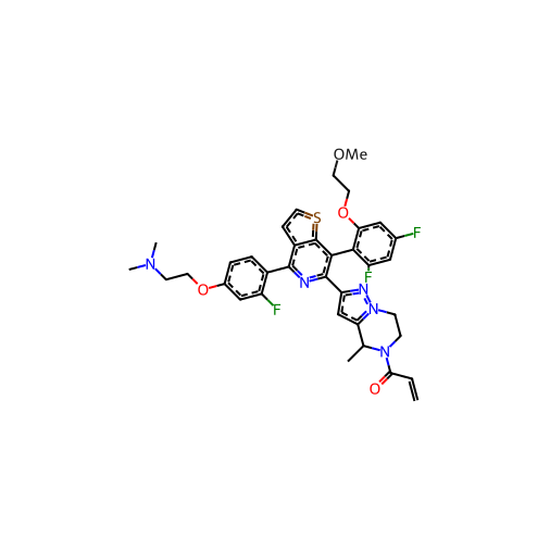 C=CC(=O)N1CCn2nc(-c3nc(-c4ccc(OCCN(C)C)cc4F)c4ccsc4c3-c3c(F)cc(F)cc3OCCOC)cc2C1C